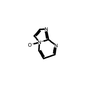 [O-][N+]12C=CC=NC1=NC=C2